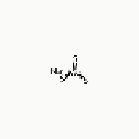 [Na].[S]=[Mo](=[S])=[S]